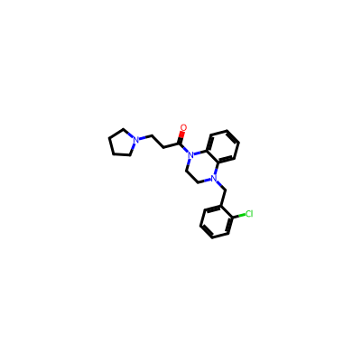 O=C(CCN1CCCC1)N1CCN(Cc2ccccc2Cl)c2ccccc21